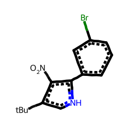 CC(C)(C)c1c[nH]c(-c2cccc(Br)c2)c1[N+](=O)[O-]